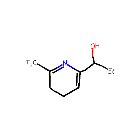 CCC(O)C1=CCCC(C(F)(F)F)=N1